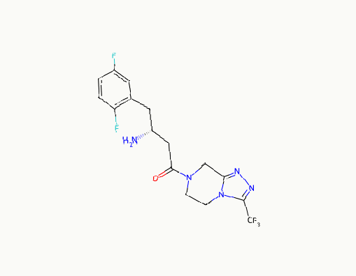 N[C@@H](CC(=O)N1CCn2c(nnc2C(F)(F)F)C1)Cc1cc(F)ccc1F